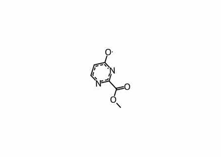 COC(=O)c1nccc([O])n1